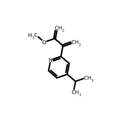 C=C(OC)C(=C)c1cc(C(C)C)ccn1